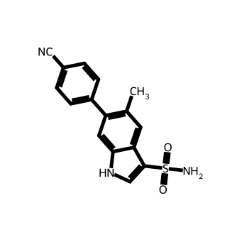 Cc1cc2c(S(N)(=O)=O)c[nH]c2cc1-c1ccc(C#N)cc1